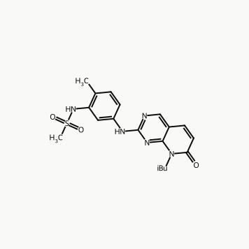 CCC(C)n1c(=O)ccc2cnc(Nc3ccc(C)c(NS(C)(=O)=O)c3)nc21